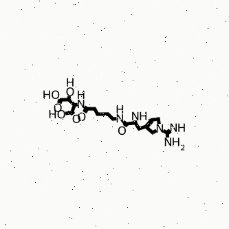 N=C(N)N1CC=C(CC(N)C(=O)NCCCCC(=O)NC(C(=O)O)C(O)C(=O)O)C1